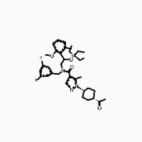 CC[Si](CC)(CC)OC(CN(Cc1cc(F)cc(F)c1)C(=O)c1cnn([C@H]2CC[C@H](C(C)=O)CC2)c1C)c1c(C)cccc1OC